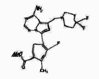 COC(=O)c1cc(-c2cc(CN3CCC(F)(F)CC3)c3c(N)ncnn23)c(F)cc1C